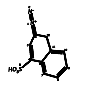 [N-]=[N+]=C1C=C(S(=O)(=O)O)c2ccccc2C1